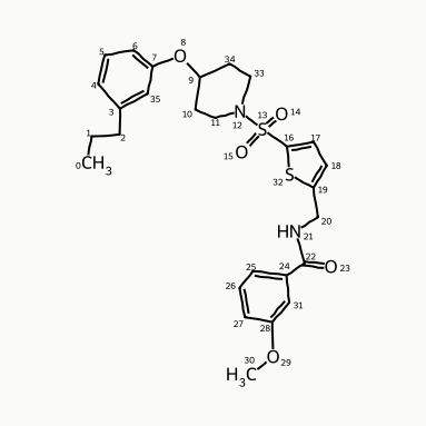 CCCc1cccc(OC2CCN(S(=O)(=O)c3ccc(CNC(=O)c4cccc(OC)c4)s3)CC2)c1